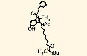 CCCCN(C)C(=O)CCCCCCCN(C(C)=O)c1c(C)n(C(=O)CCc2ccccc2)c2ccc(O)cc12